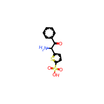 NC(C(=O)c1ccccc1)c1ccc(S(=O)(=O)O)s1